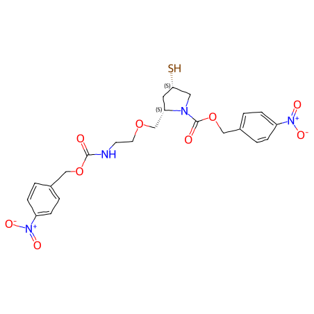 O=C(NCCOC[C@@H]1C[C@H](S)CN1C(=O)OCc1ccc([N+](=O)[O-])cc1)OCc1ccc([N+](=O)[O-])cc1